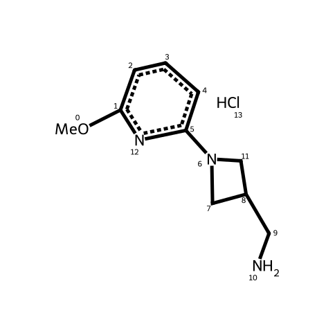 COc1cccc(N2CC(CN)C2)n1.Cl